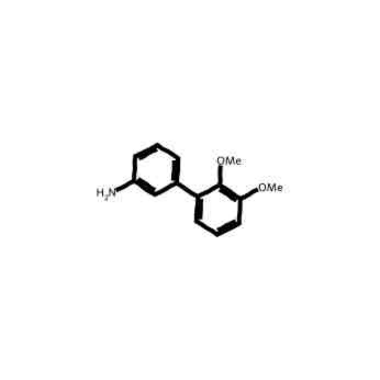 COc1cccc(-c2cccc(N)c2)c1OC